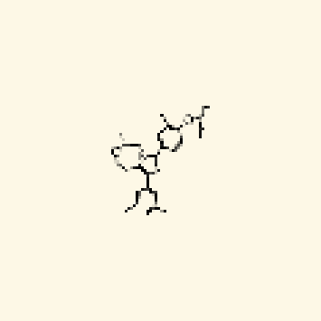 C=C(C)/C=C(\C=C\C)c1nc(-c2ccc(OC(F)F)c(C)c2)n2c1CCO[C@H](C)C2